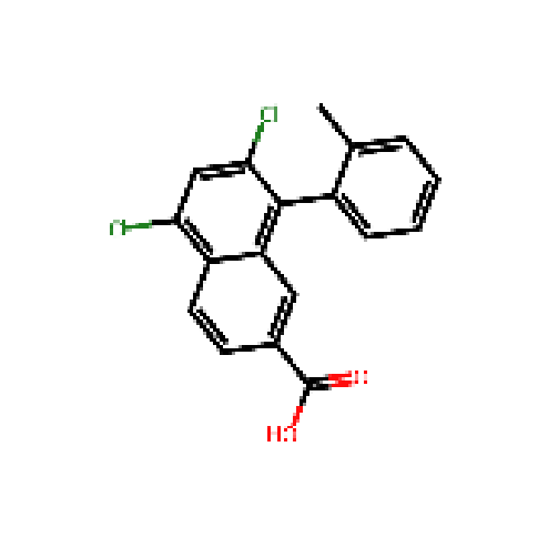 Cc1ccccc1-c1c(Cl)cc(Cl)c2ccc(C(=O)O)cc12